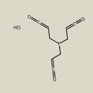 Cl.O=C=CCP(CC=C=O)CC=C=O